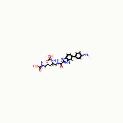 Nc1ccc(-c2ccc3nc(C(=O)NCC(CCCNC(=O)O)NC(=O)O)[nH]c3c2)cc1